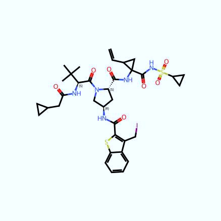 C=CC1CC1(NC(=O)[C@@H]1C[C@@H](NC(=O)c2sc3ccccc3c2CI)CN1C(=O)[C@@H](NC(=O)CC1CC1)C(C)(C)C)C(=O)NS(=O)(=O)C1CC1